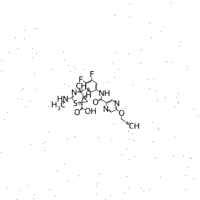 C#CCOc1cnc(C(=O)Nc2cc(F)c(F)c([C@@]3(C)N=C(NC)S[C@@]4(C(=O)O)C[C@H]43)c2)cn1